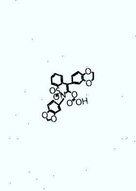 O=C(O)OC1=C(c2ccc3c(c2)OCCO3)c2ccccc2S(=O)(=O)N1Cc1ccc2c(c1)OCO2